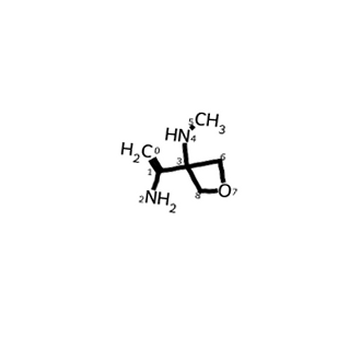 C=C(N)C1(NC)COC1